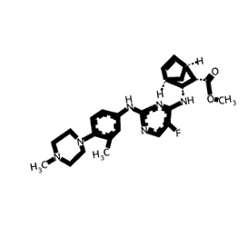 COC(=O)[C@@H]1[C@H](Nc2nc(Nc3ccc(N4CCN(C)CC4)c(C)c3)ncc2F)[C@H]2C=C[C@@H]1C2